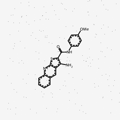 COc1ccc(NC(=O)c2sc3nc4ccccc4cc3c2N)cc1